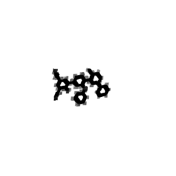 Cc1ccc(-c2ccccc2)cc1-c1ccc(-c2cc(C#N)cc(C#N)c2F)cc1Oc1ccccc1